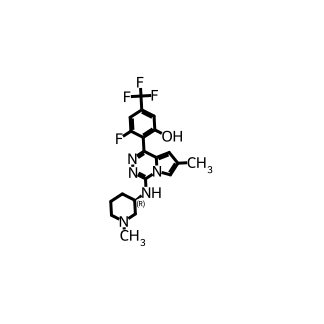 Cc1cc2c(-c3c(O)cc(C(F)(F)F)cc3F)nnc(N[C@@H]3CCCN(C)C3)n2c1